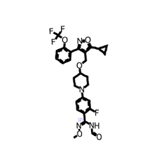 CO/N=C(\NC=O)c1ccc(N2CCC(OCc3c(-c4ccccc4OC(F)(F)F)noc3C3CC3)CC2)cc1F